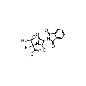 CC(=O)[C@](Br)(C(=O)O)N1C(=O)[C@H](N2C(=O)c3ccccc3C2=O)[C@H]1Cl